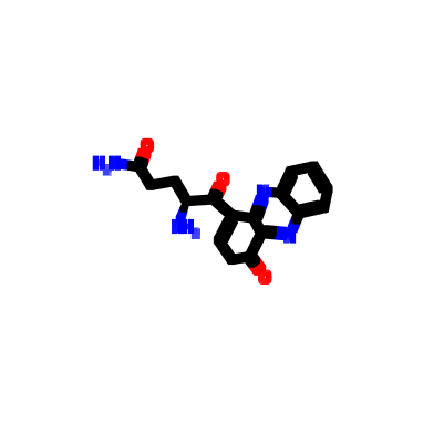 NC(=O)CC[C@H](N)C(=O)C1=CCC(=O)c2nc3ccccc3nc21